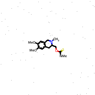 CNC(=S)OCC1Cc2cc(OC)c(OC)cc2CN1C